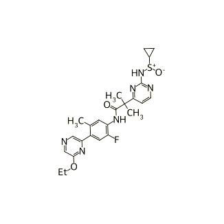 CCOc1cncc(-c2cc(F)c(NC(=O)C(C)(C)c3ccnc(N[S+]([O-])C4CC4)n3)cc2C)n1